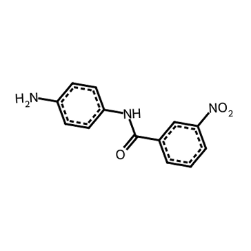 Nc1ccc(NC(=O)c2cccc([N+](=O)[O-])c2)cc1